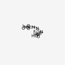 C#CC(=O)N1CC(S(=O)(=O)c2ccc(N3CC(CN4CCC(C(CN5CCC5)(c5cccc(F)c5)[C@H]5CCC[C@@H]5NC(=O)O)CC4)C3)cc2)C1